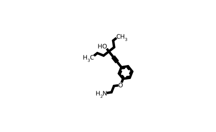 CCCC(O)(C#Cc1cccc(OCCN)c1)CCC